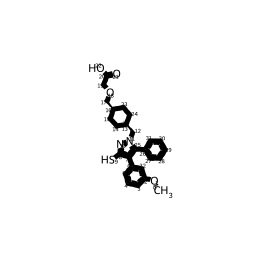 COc1cccc(-c2c(S)nn(C[C@H]3CC[C@@H](COCC(=O)O)CC3)c2-c2ccccc2)c1